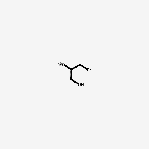 CCCC(CO)CBr